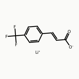 O=C([O-])C=Cc1ccc(C(F)(F)F)cc1.[Li+]